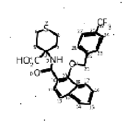 O=C(NC1(C(=O)O)CCSCC1)c1ccc2ccccc2c1OCc1ccc(C(F)(F)F)cc1